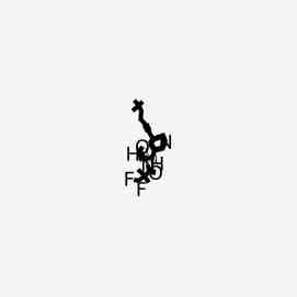 CC(C)(C)CCC#Cc1cncc2c1O[C@H]1C[C@@H]2N(C(=O)C(C)(C)C(F)F)C1